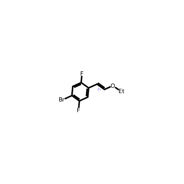 CCO/C=C/c1cc(F)c(Br)cc1F